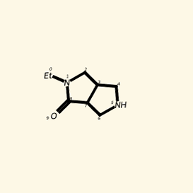 CCN1CC2CNCC2C1=O